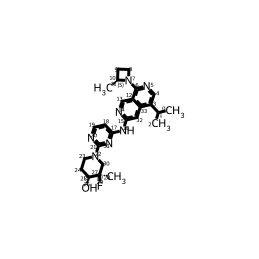 CC(C)c1cnc(N2CC[C@@H]2C)c2cnc(Nc3ccnc(N4CC[C@H](O)[C@](C)(F)C4)n3)cc12